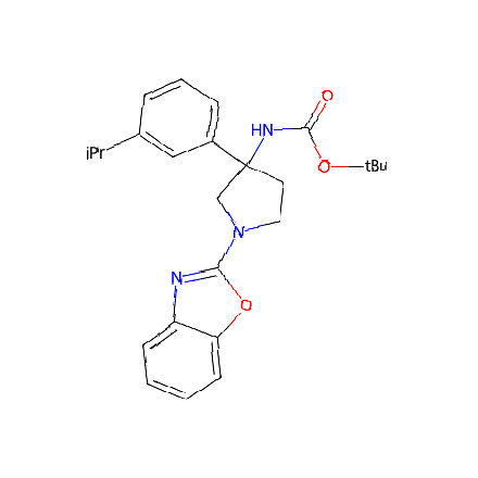 CC(C)c1cccc(C2(NC(=O)OC(C)(C)C)CCN(c3nc4ccccc4o3)C2)c1